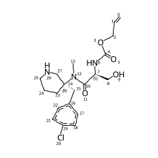 C=CCOC(=O)N[C@@H](CO)C(=O)N(C)[C@@]1(Cc2ccc(Cl)cc2)CCCNC1